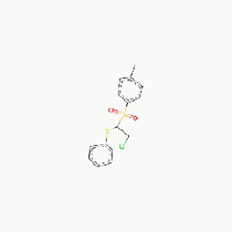 Cc1ccc(S(=O)(=O)C(CCl)Sc2ccccc2)cc1